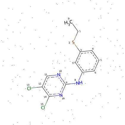 CCSc1cccc(Nc2ncc(Cl)c(Cl)n2)c1